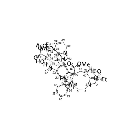 CC[C@]12CN3CCc4c([nH]c5ccccc45)[C@@](C(=O)OC)(c4cc5c(cc4OC)N(C)[C@H]4[C@@](O)(C(=O)OC)[C@H](OC(C)=O)[C@]6(CC)C=CCN7CC[C@]54[C@@H]76)C[C@@H](C3)[C@H]1O2